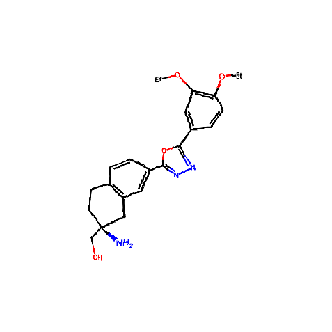 CCOc1ccc(-c2nnc(-c3ccc4c(c3)C[C@](N)(CO)CC4)o2)cc1OCC